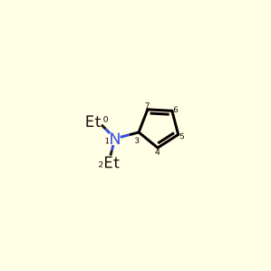 CCN(CC)C1C=CC=C1